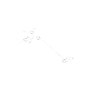 CC[C@@H](C(=O)N1CCCCC1C(=O)O[C@@H](CCc1ccc(OC)c(OC)c1)c1ccc(OCC(=O)NCCCOCCOCCOCCCNC(=O)COc2cccc3c2C(=O)N(C2CCC(=O)NC2=O)C3=O)cc1)c1cc(OC)c(OC)c(OC)c1